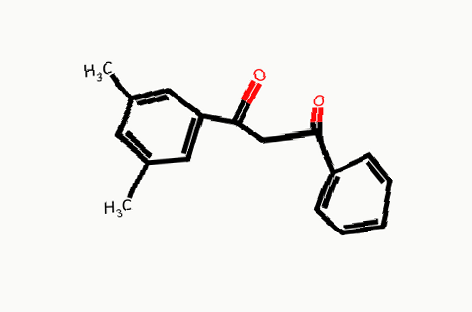 Cc1cc(C)cc(C(=O)CC(=O)c2ccccc2)c1